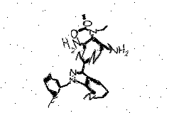 CCN(C(=O)OC)c1c(N)nc(-c2nn(Cc3ccccc3F)c3ncccc23)nc1N